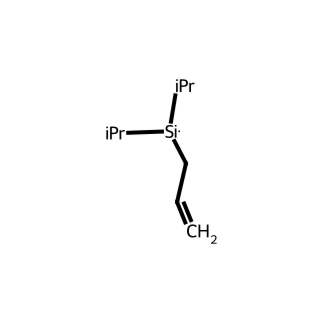 C=CC[Si](C(C)C)C(C)C